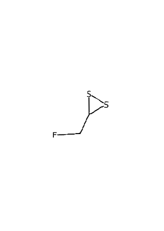 FCC1SS1